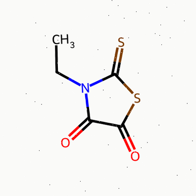 CCN1C(=O)C(=O)SC1=S